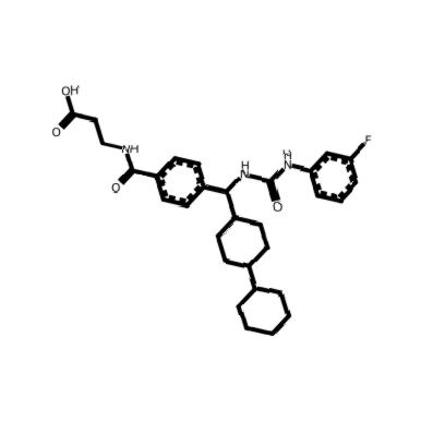 O=C(O)CCNC(=O)c1ccc(C(NC(=O)Nc2cccc(F)c2)C2CCC(C3CCCCC3)CC2)cc1